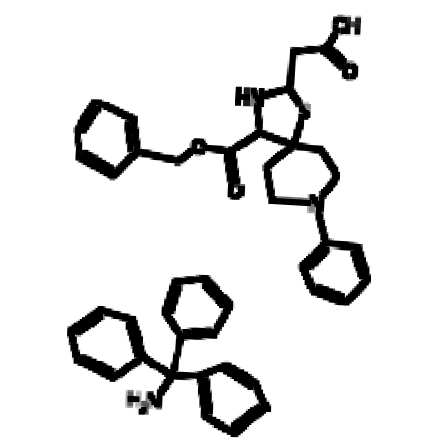 NC(c1ccccc1)(c1ccccc1)c1ccccc1.O=C(O)CC1NC(C(=O)OCc2ccccc2)C2(CCN(c3ccccc3)CC2)S1